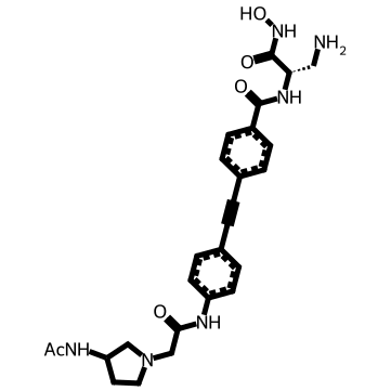 CC(=O)NC1CCN(CC(=O)Nc2ccc(C#Cc3ccc(C(=O)N[C@@H](CN)C(=O)NO)cc3)cc2)C1